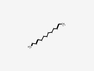 C=CC=CCCCCCCC=CC